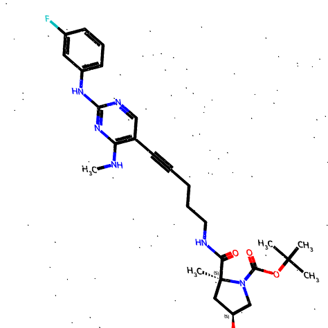 CNc1nc(Nc2cccc(F)c2)ncc1C#CCCCNC(=O)[C@]1(C)C[C@H](O)CN1C(=O)OC(C)(C)C